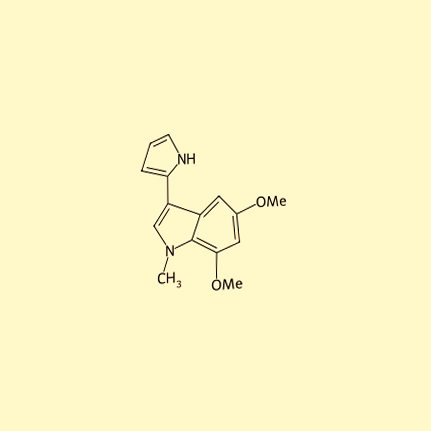 COc1cc(OC)c2c(c1)c(-c1ccc[nH]1)cn2C